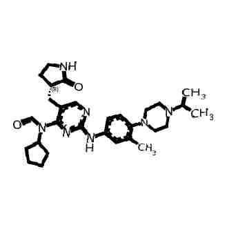 Cc1cc(Nc2ncc(C[C@@H]3CCNC3=O)c(N(C=O)C3CCCC3)n2)ccc1N1CCN(C(C)C)CC1